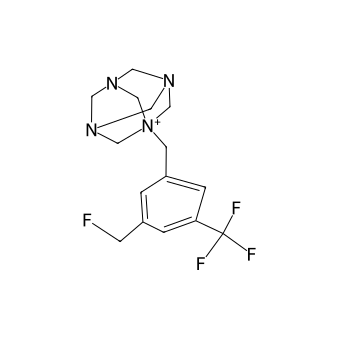 FCc1cc(C[N+]23CN4CN(CN(C4)C2)C3)cc(C(F)(F)F)c1